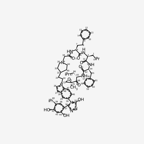 CC(C)C[C@H](NC(=O)[C@H](CCc1ccccc1)NC(=O)CN1CCC(CCn2ccc3cc(-n4c(O)nnc4-c4cc(C(C)C)c(O)cc4O)ccc32)CC1)C(=O)N[C@@H](Cc1ccccc1)C(=O)N[C@@H](CC(C)C)C(=O)[C@@]1(C)CO1